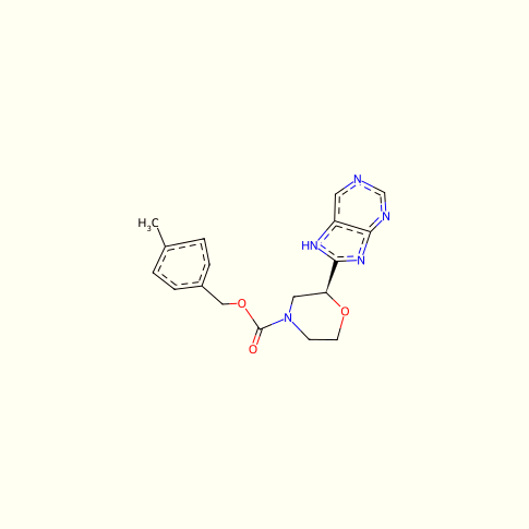 Cc1ccc(COC(=O)N2CCO[C@H](c3nc4ncncc4[nH]3)C2)cc1